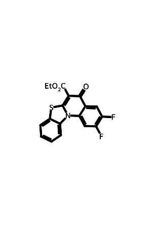 CCOC(=O)c1c(=O)c2cc(F)c(F)cc2n2c1sc1ccccc12